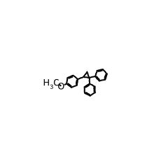 COc1ccc(C2CC2(c2ccccc2)c2ccccc2)cc1